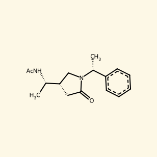 CC(=O)N[C@@H](C)[C@H]1CC(=O)N([C@H](C)c2ccccc2)C1